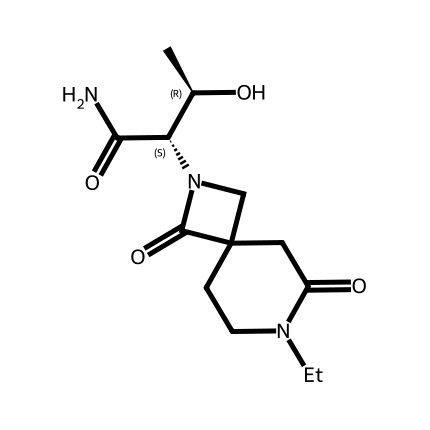 CCN1CCC2(CC1=O)CN([C@H](C(N)=O)[C@@H](C)O)C2=O